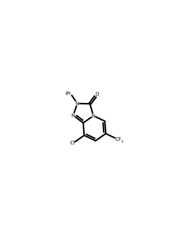 CC(C)n1nc2c(Cl)cc(C(F)(F)F)cn2c1=O